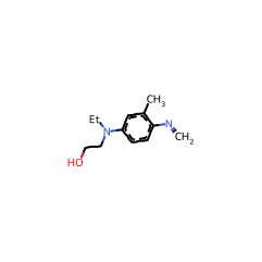 C=Nc1ccc(N(CC)CCO)cc1C